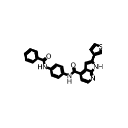 O=C(Nc1ccc(NC(=O)c2ccnc3[nH]c(-c4ccsc4)cc23)cc1)c1ccccc1